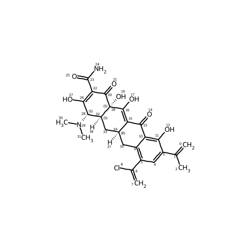 C=C(C)c1cc(C(=C)Cl)c2c(c1O)C(=O)C1=C(O)[C@]3(O)C(=O)C(C(N)=O)=C(O)[C@@H](N(C)C)[C@@H]3C[C@@H]1C2